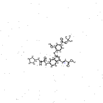 COC(=O)/C=C/c1cn(Cc2ccc(C(=O)OC(C)(C)C)cc2OC)c2cc(CC(=O)NCC3CCCC3)ccc12